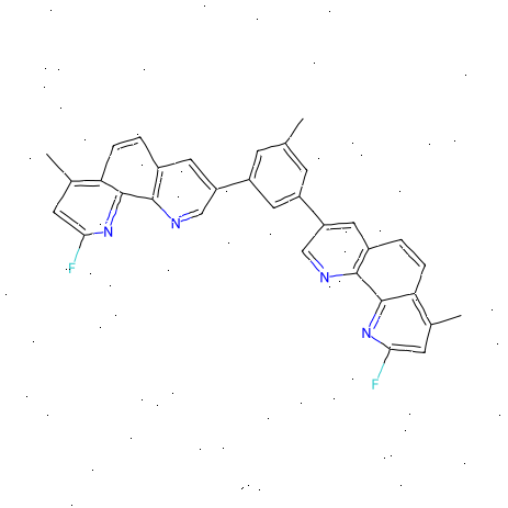 Cc1cc(-c2cnc3c(ccc4c(C)cc(F)nc43)c2)cc(-c2cnc3c(ccc4c(C)cc(F)nc43)c2)c1